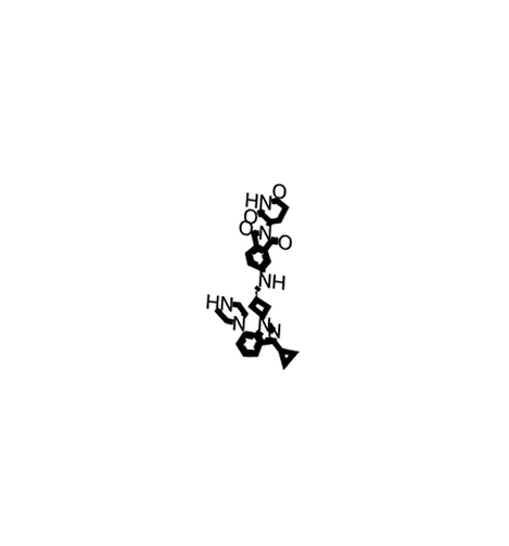 O=C1CCC(N2C(=O)c3ccc(NC[C@H]4C[C@H](n5nc(C6CC6)c6cccc(N7CCNCC7)c65)C4)cc3C2=O)C(=O)N1